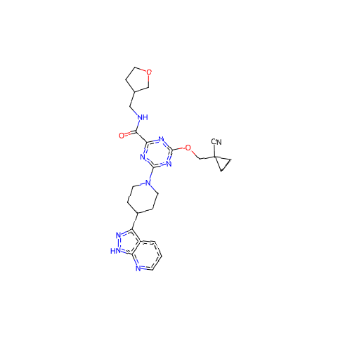 N#CC1(COc2nc(C(=O)NCC3CCOC3)nc(N3CCC(c4n[nH]c5ncccc45)CC3)n2)CC1